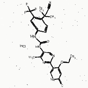 CCOc1cc(=O)[nH]cc1-c1ncc(NC(=O)Nc2ccc(C(C)(C)C#N)c(C(F)(F)F)c2)c(C)n1.Cl